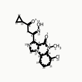 Cn1c(=O)c2c(C(CC(=O)C3CC3)=NO)ncn2c2cccc(Cl)c21